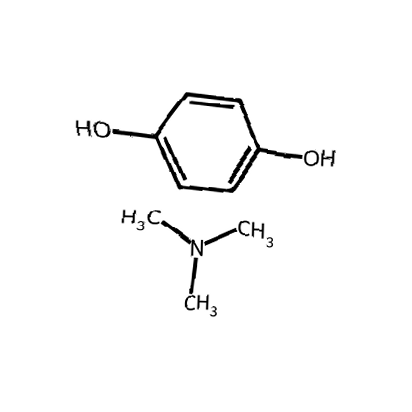 CN(C)C.Oc1ccc(O)cc1